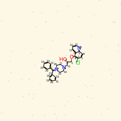 OC(COc1c(Cl)ccc2ncccc12)CN1CCN(C(c2ccccc2)c2ccccc2)CC1